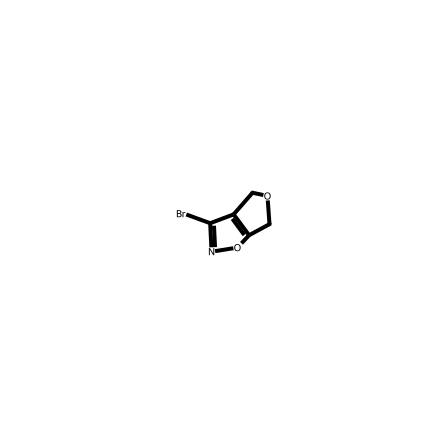 Brc1noc2c1COC2